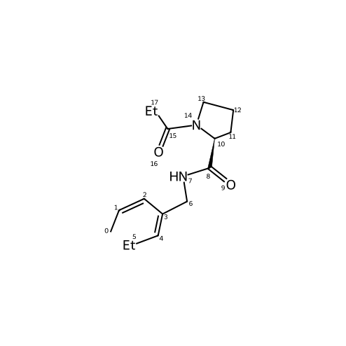 C/C=C\C(=C/CC)CNC(=O)[C@@H]1CCCN1C(=O)CC